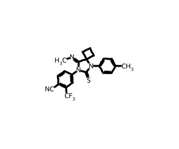 CN=C1N(c2ccc(C#N)c(C(F)(F)F)c2)C(=S)N(c2ccc(C)cc2)C12CCC2